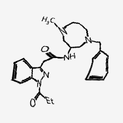 CCC(=O)n1nc(C(=O)NC2CN(C)CCN(Cc3ccccc3)C2)c2ccccc21